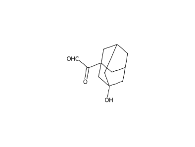 O=CC(=O)C12CC3CC(CC(O)(C3)C1)C2